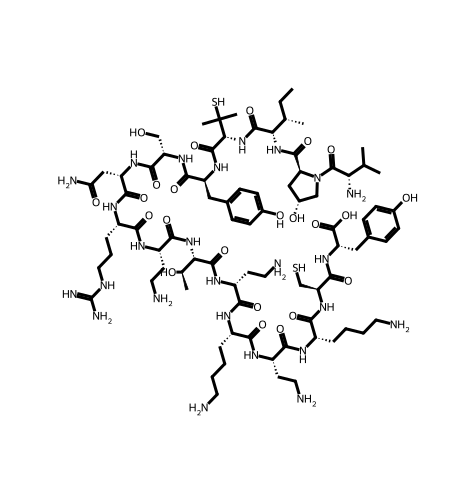 CC[C@H](C)[C@H](NC(=O)[C@@H]1C[C@@H](O)CN1C(=O)[C@@H](N)C(C)C)C(=O)N[C@H](C(=O)N[C@@H](Cc1ccc(O)cc1)C(=O)N[C@@H](CO)C(=O)N[C@@H](CC(N)=O)C(=O)N[C@@H](CCCNC(=N)N)C(=O)N[C@@H](CCN)C(=O)N[C@H](C(=O)N[C@H](CCN)C(=O)N[C@@H](CCCCN)C(=O)N[C@@H](CCN)C(=O)N[C@@H](CCCCN)C(=O)N[C@@H](CS)C(=O)N[C@@H](Cc1ccc(O)cc1)C(=O)O)[C@@H](C)O)C(C)(C)S